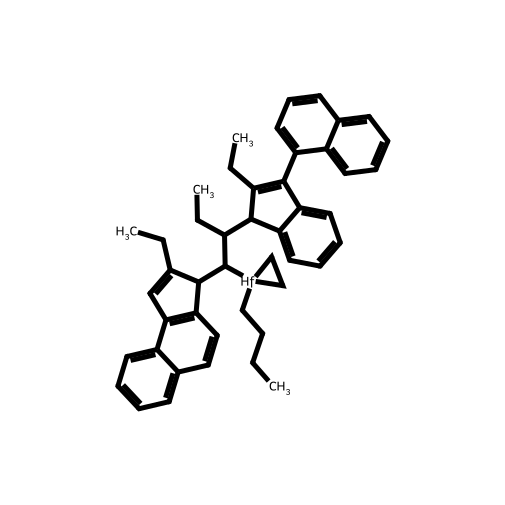 CCC[CH2][Hf]1([CH](C2C(CC)=Cc3c2ccc2ccccc32)C(CC)C2C(CC)=C(c3cccc4ccccc34)c3ccccc32)[CH2][CH2]1